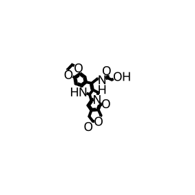 O=C(CO)NCC1=C2Cn3c(cc4c(c3=O)COC(=O)C4)C2Nc2cc3c(cc21)OCCO3